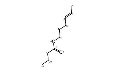 CC=CCCCOC(=O)CCC